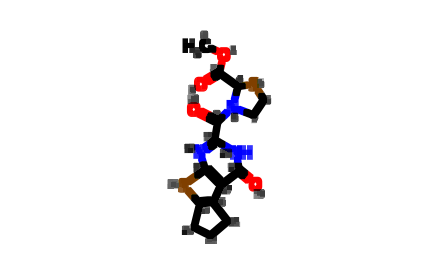 COC(=O)C1SCCN1C(=O)c1nc2sc3c(c2c(=O)[nH]1)CCC3